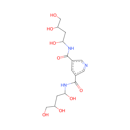 O=C(NC(O)CC(O)CO)c1cncc(C(=O)NC(O)CC(O)CO)c1